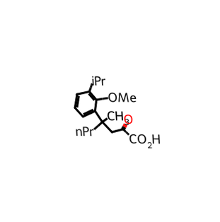 CCCC(C)(CC(=O)C(=O)O)c1cccc(C(C)C)c1OC